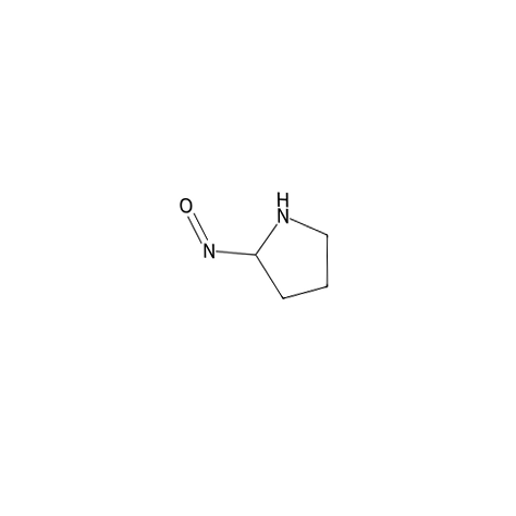 O=NC1CCCN1